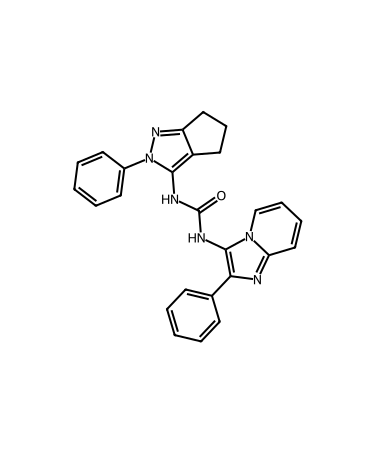 O=C(Nc1c2c(nn1-c1ccccc1)CCC2)Nc1c(-c2ccccc2)nc2ccccn12